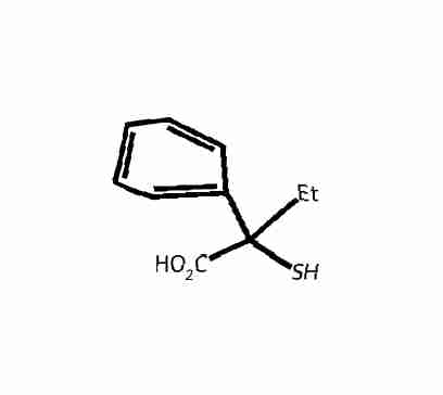 CCC(S)(C(=O)O)c1ccccc1